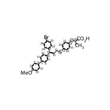 COc1ccc(-c2ccc(C(=CCSc3ccc(OC(C)C(=O)O)cc3)c3ccc(Br)cc3)cc2)cc1